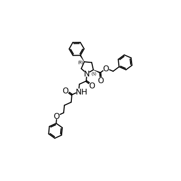 O=C(CCCOc1ccccc1)NCC(=O)N1C[C@@H](c2ccccc2)C[C@H]1C(=O)OCc1ccccc1